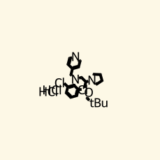 CC(C)(C)COCC(CN(Cc1ccncc1)c1c(Cl)cccc1Cl)N1CCCC1.Cl.Cl